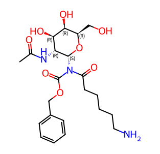 CC(=O)N[C@@H]1[C@@H](O)[C@@H](O)[C@@H](CO)O[C@@H]1N(C(=O)CCCCCN)C(=O)OCc1ccccc1